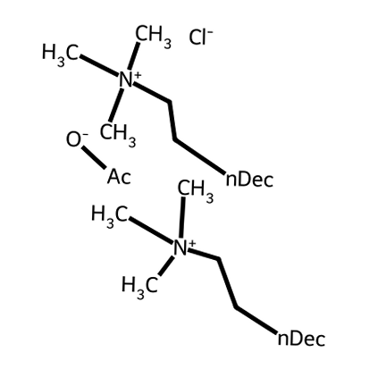 CC(=O)[O-].CCCCCCCCCCCC[N+](C)(C)C.CCCCCCCCCCCC[N+](C)(C)C.[Cl-]